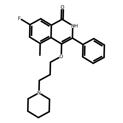 Cc1cc(F)cc2c(=O)[nH]c(-c3ccccc3)c(OCCCN3CCCCC3)c12